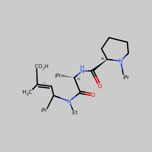 CCN(C(=O)[C@@H](NC(=O)[C@H]1CCCCN1C(C)C)C(C)C)C(/C=C(\C)C(=O)O)C(C)C